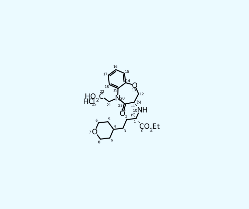 CCOC(=O)[C@H](CCC1CCOCC1)N[C@H]1COc2ccccc2N(CC(=O)O)C1=O.Cl